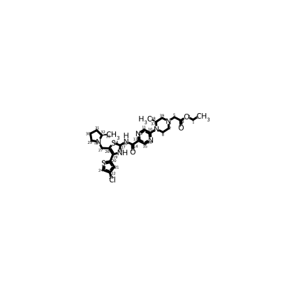 CCOC(=O)CN1CCN(c2cnc(C(=O)NC3NC(c4cc(Cl)cs4)=C(CN4CCC[C@H]4C)S3)cn2)[C@@H](C)C1